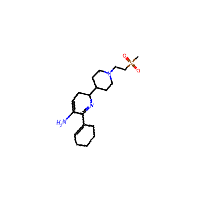 CS(=O)(=O)CCN1CCC(C2CC=C(N)C(C3=CCCCC3)=N2)CC1